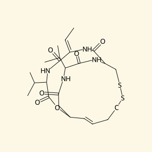 C/C=C1\NC(=O)C2CSSCC/C=C/C(CC(=O)NC(C(C)C)C(=O)N2)OC(=O)C(C(C)C)NC1=O